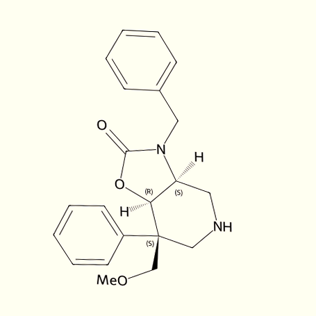 COC[C@]1(c2ccccc2)CNC[C@H]2[C@@H]1OC(=O)N2Cc1ccccc1